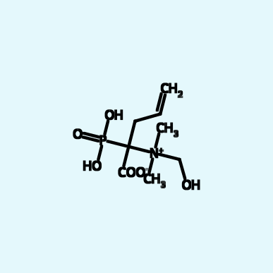 C=CCC(C(=O)[O-])([N+](C)(C)CO)P(=O)(O)O